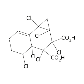 O=C(O)C1(Cl)C2(Cl)C(=CCCC2Cl)C2(Cl)CC2(Cl)C1(Cl)C(=O)O